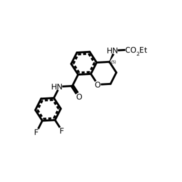 CCOC(=O)N[C@H]1CCOc2c(C(=O)Nc3ccc(F)c(F)c3)cccc21